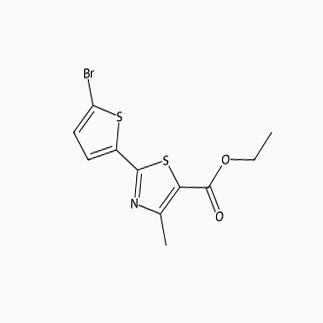 CCOC(=O)c1sc(-c2ccc(Br)s2)nc1C